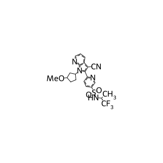 COC1CCC(n2c(-c3ccc(S(=O)(=O)N[C@@H](C)C(F)(F)F)cn3)c(C#N)c3cccnc32)C1